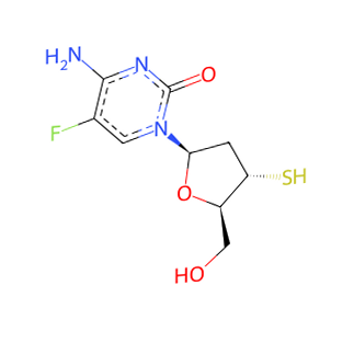 Nc1nc(=O)n([C@H]2C[C@H](S)[C@@H](CO)O2)cc1F